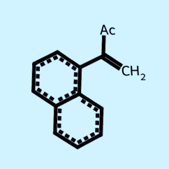 C=C(C(C)=O)c1cccc2ccccc12